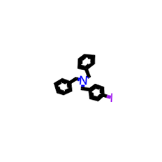 Ic1ccc(CN(Cc2ccccc2)Cc2ccccc2)cc1